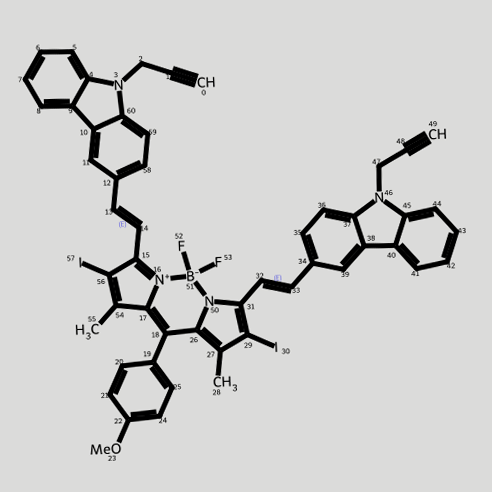 C#CCn1c2ccccc2c2cc(/C=C/C3=[N+]4C(=C(c5ccc(OC)cc5)c5c(C)c(I)c(/C=C/c6ccc7c(c6)c6ccccc6n7CC#C)n5[B-]4(F)F)C(C)=C3I)ccc21